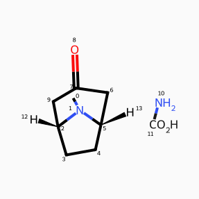 CN1[C@@H]2CC[C@H]1CC(=O)C2.NC(=O)O